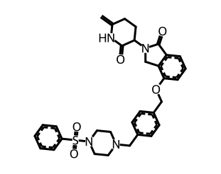 C=C1CCC(N2Cc3c(OCc4ccc(CN5CCN(S(=O)(=O)c6ccccc6)CC5)cc4)cccc3C2=O)C(=O)N1